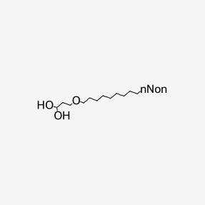 CCCCCCCCCCCCCCCCCCOCCC(O)O